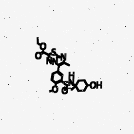 CCOC(=O)c1nn2c(-c3ccc(OC)c([S+]([O-])NC4(C)CCC(O)CC4)c3)c(C)nc2s1